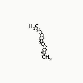 Cc1cc2cc3c(cc2s1)-c1cc2sc4cc5c(cc4c2cc1C3)Cc1cc2c(cc1-5)SC(C)C2